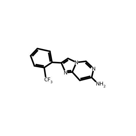 Nc1cc2nc(-c3ccccc3C(F)(F)F)cn2cn1